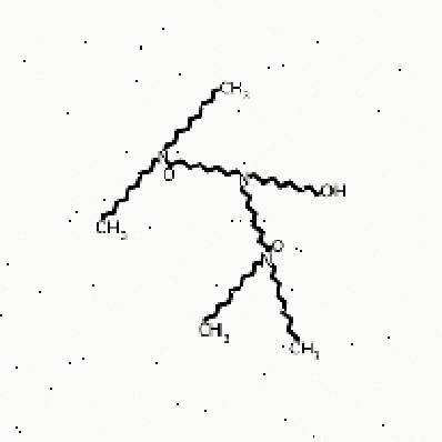 CCCCCCCCCCN(CCCCCCCCCC)C(=O)CCCCCCCN(CCCCCCCCO)CCCCCCCC(=O)N(CCCCCCCCCC)CCCCCCCCCC